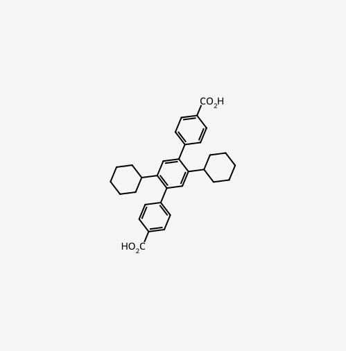 O=C(O)c1ccc(-c2cc(C3CCCCC3)c(-c3ccc(C(=O)O)cc3)cc2C2CCCCC2)cc1